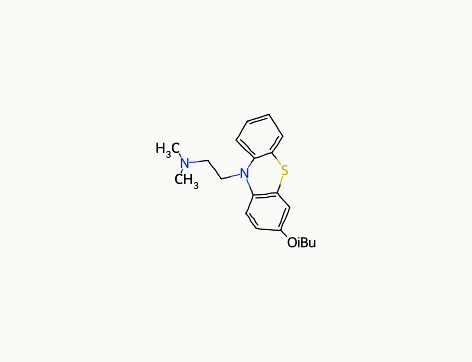 CC(C)COc1ccc2c(c1)Sc1ccccc1N2CCN(C)C